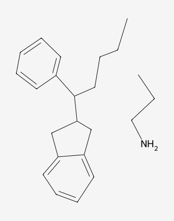 CCCCC(c1ccccc1)C1Cc2ccccc2C1.CCCN